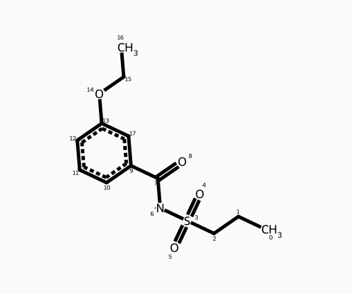 CCCS(=O)(=O)[N]C(=O)c1cccc(OCC)c1